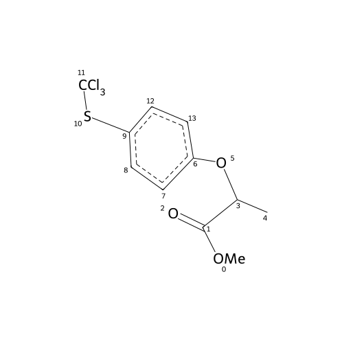 COC(=O)C(C)Oc1ccc(SC(Cl)(Cl)Cl)cc1